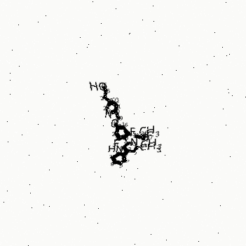 C[C@@H]1Cc2c([nH]c3ccccc23)[C@@H](c2c(F)cc(OCc3ccc(CCO)cn3)cc2F)N1CC(C)(C)F